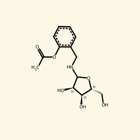 CC(=O)Oc1ccccc1CNC1O[C@H](CO)[C@@H](O)[C@H]1O